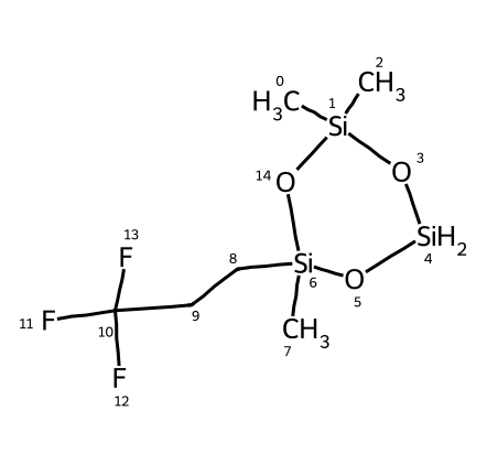 C[Si]1(C)O[SiH2]O[Si](C)(CCC(F)(F)F)O1